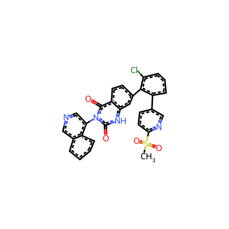 CS(=O)(=O)c1ccc(-c2cccc(Cl)c2-c2ccc3c(=O)n(-c4cncc5ccccc45)c(=O)[nH]c3c2)cn1